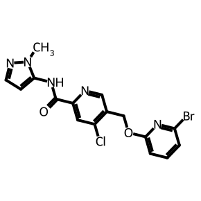 Cn1nccc1NC(=O)c1cc(Cl)c(COc2cccc(Br)n2)cn1